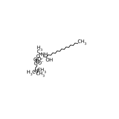 CCCCCCCCCCCCCCC[C@@H](O)[C@H](COP(=O)([O-])OCC[N+](C)(C)C)NC(C)=O